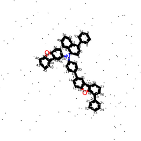 c1ccc(-c2ccc(N(c3ccc(-c4ccc5oc6c(-c7ccccc7)cccc6c5c4)cc3)c3ccc4oc5ccccc5c4c3)c3ccccc23)cc1